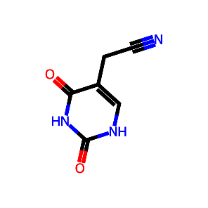 N#CCc1c[nH]c(=O)[nH]c1=O